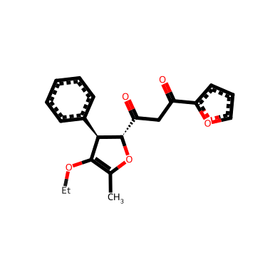 CCOC1=C(C)O[C@@H](C(=O)CC(=O)c2ccco2)[C@@H]1c1ccccc1